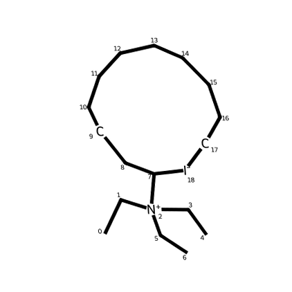 CC[N+](CC)(CC)C1CCCCCCCCCC[I-]1